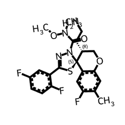 CON(C)C(=O)N1N=C(c2cc(F)ccc2F)S[C@@]12c1cc(F)c(C)cc1OC[C@H]2CCN